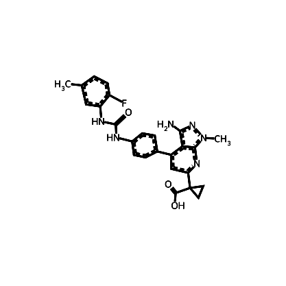 Cc1ccc(F)c(NC(=O)Nc2ccc(-c3cc(C4(C(=O)O)CC4)nc4c3c(N)nn4C)cc2)c1